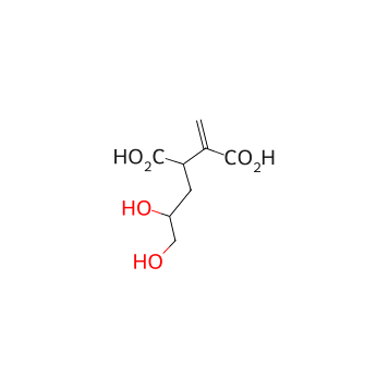 C=C(C(=O)O)C(CC(O)CO)C(=O)O